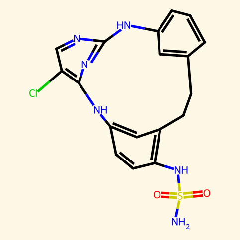 NS(=O)(=O)Nc1ccc2cc1CCc1cccc(c1)Nc1ncc(Cl)c(n1)N2